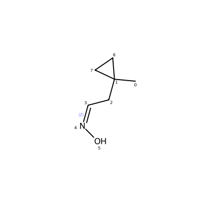 CC1(C/C=N\O)CC1